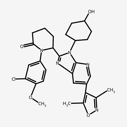 COc1ccc(N2C(=O)CCCC2c2nc3cc(-c4c(C)noc4C)cnc3n2C2CCC(O)CC2)cc1Cl